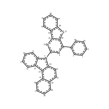 c1ccc(-c2nc(-n3c4ccccc4c4c5ccccc5ccc43)nc3c2sc2ccccc23)cc1